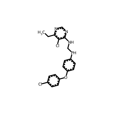 CCc1ncnc(NCPc2ccc(Oc3ccc(Cl)cc3)cc2)c1Cl